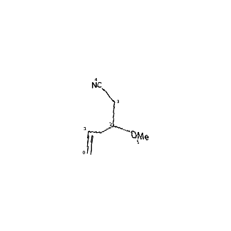 C=CC(CC#N)OC